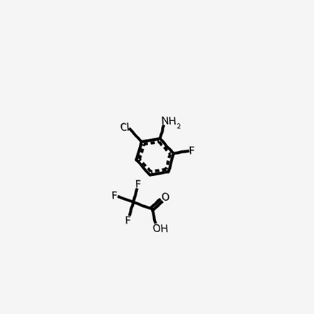 Nc1c(F)cccc1Cl.O=C(O)C(F)(F)F